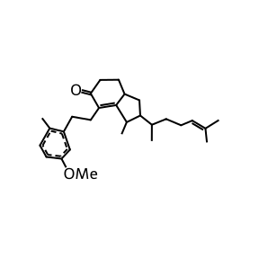 COc1ccc(C)c(CCC2=C3C(CCC2=O)CC(C(C)CCC=C(C)C)C3C)c1